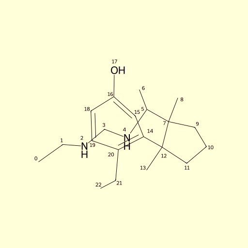 CCNCNC(C)C1(C)CCCC1(C)c1cc(O)ccc1CC